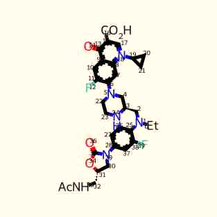 CCN(C[C@@H]1CN(c2cc3c(cc2F)c(=O)c(C(=O)O)cn3C2CC2)CCN1)c1ccc(N2C[C@H](CNC(C)=O)OC2=O)cc1F